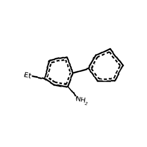 CCc1ccc(-c2ccccc2)c(N)c1